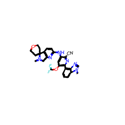 CN1Cc2nc(Nc3cc(OC(F)F)c(-c4cccc5c4ncn5C)nc3C#N)ccc2C12CCOCC2